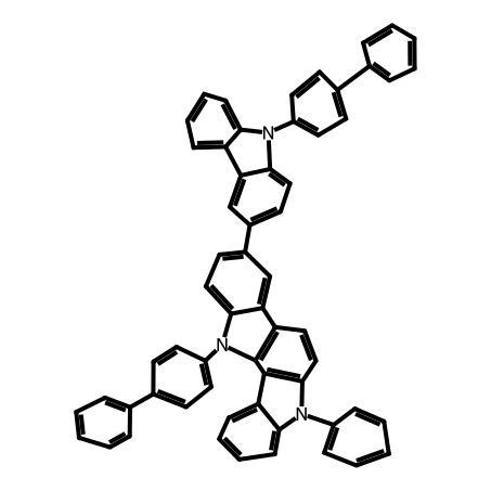 c1ccc(-c2ccc(-n3c4ccccc4c4cc(-c5ccc6c(c5)c5ccc7c(c8ccccc8n7-c7ccccc7)c5n6-c5ccc(-c6ccccc6)cc5)ccc43)cc2)cc1